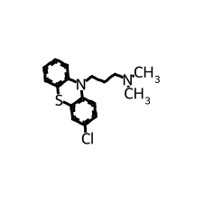 CN(C)CCCN1c2ccccc2Sc2cc(Cl)ccc21